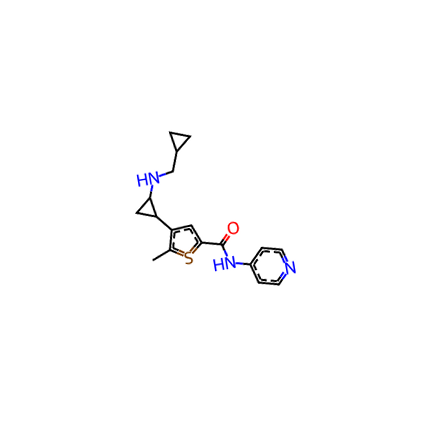 Cc1sc(C(=O)Nc2ccncc2)cc1C1CC1NCC1CC1